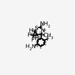 C[C@]1(c2cc(N)ccc2F)N=C(N)S[C@@H]2[C@H]1C2(F)F